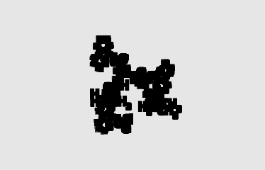 CC(C)(C)OC(=O)NCCCN(CCCCN(CCCNC(=O)OC(C)(C)C)C(=O)OCC1c2ccccc2-c2ccccc21)C(=O)OCC1c2ccccc2-c2ccccc21.O=C(Cl)OCC1c2ccccc2-c2ccccc21